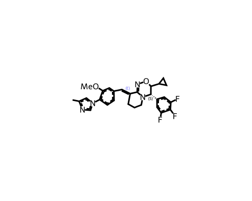 COc1cc(/C=C2\CCCN3C2=NOC(C2CC2)[C@@H]3c2cc(F)c(F)c(F)c2)ccc1-n1cnc(C)c1